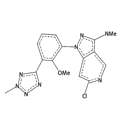 CNc1nn(-c2cccc(-c3nnn(C)n3)c2OC)c2cc(Cl)ncc12